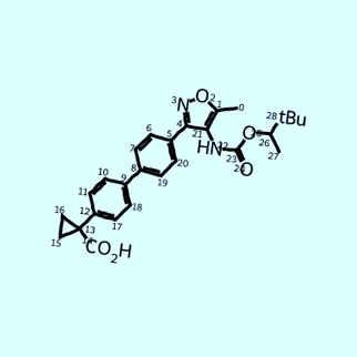 Cc1onc(-c2ccc(-c3ccc(C4(C(=O)O)CC4)cc3)cc2)c1NC(=O)OC(C)C(C)(C)C